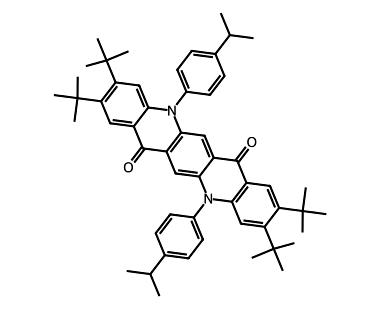 CC(C)c1ccc(-n2c3cc(C(C)(C)C)c(C(C)(C)C)cc3c(=O)c3cc4c(cc32)c(=O)c2cc(C(C)(C)C)c(C(C)(C)C)cc2n4-c2ccc(C(C)C)cc2)cc1